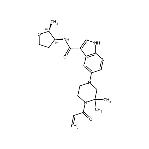 C=CC(=O)N1CCN(c2cnc3[nH]cc(C(=O)N[C@H]4CCO[C@H]4C)c3n2)CC1(C)C